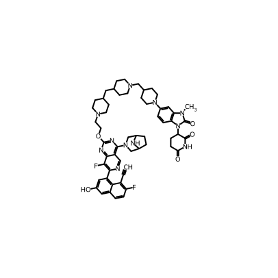 C#Cc1c(F)ccc2cc(O)cc(-c3ncc4c(N5CC6CCC(C5)N6)nc(OCCN5CCC(CC6CCN(CC7CCN(c8ccc9c(c8)n(C)c(=O)n9C8CCC(=O)NC8=O)CC7)CC6)CC5)nc4c3F)c12